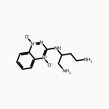 NCCC(CN)Nc1n[n+]([O-])c2ccccc2[n+]1[O-]